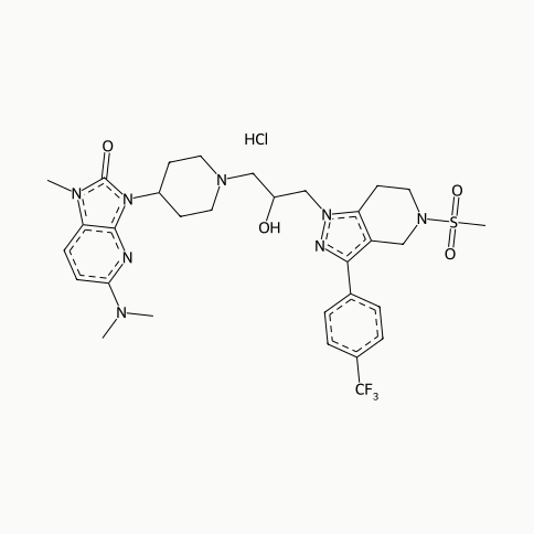 CN(C)c1ccc2c(n1)n(C1CCN(CC(O)Cn3nc(-c4ccc(C(F)(F)F)cc4)c4c3CCN(S(C)(=O)=O)C4)CC1)c(=O)n2C.Cl